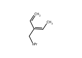 C=CC(=CC)CCCC